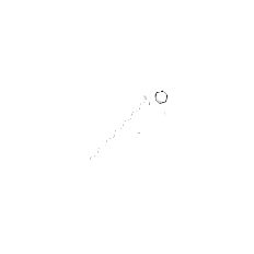 CCCCCCCCCCCCCC[N+](C)(C)c1ccccc1.[Br-]